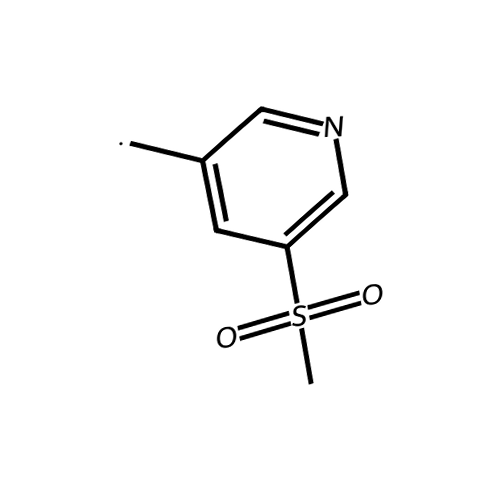 [CH2]c1cncc(S(C)(=O)=O)c1